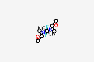 N#Cc1c(F)c(-n2c3ccccc3c3c4oc5ccccc5c4ccc32)c(C#N)c(F)c1-n1c2ccccc2c2c3oc4ccccc4c3ccc21